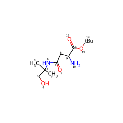 CC(C)(CO)NC(=O)CC(N)C(=O)OC(C)(C)C